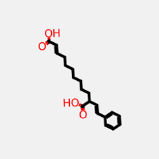 O=C(O)/C=C/CCCCCCCC(C=Cc1ccccc1)C(=O)O